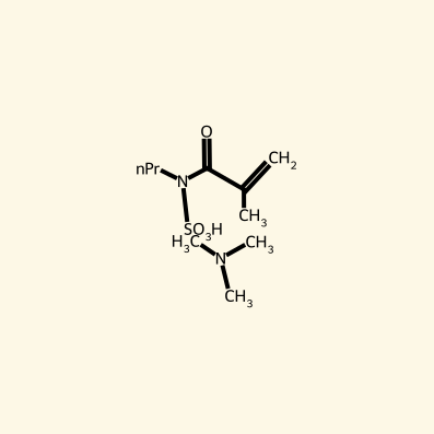 C=C(C)C(=O)N(CCC)S(=O)(=O)O.CN(C)C